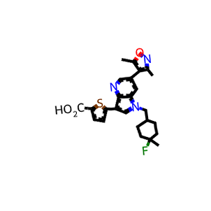 Cc1noc(C)c1-c1cnc2c(-c3ccc(C(=O)O)s3)cn(CC3CCC(C)(F)CC3)c2c1